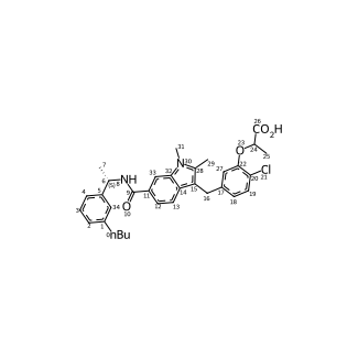 CCCCc1cccc([C@H](C)NC(=O)c2ccc3c(Cc4ccc(Cl)c(OC(C)C(=O)O)c4)c(C)n(C)c3c2)c1